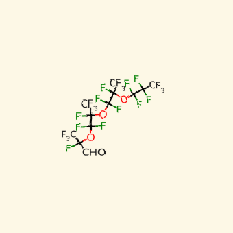 O=CC(F)(OC(F)(F)C(F)(OC(F)(F)C(F)(OC(F)(F)C(F)(F)C(F)(F)F)C(F)(F)F)C(F)(F)F)C(F)(F)F